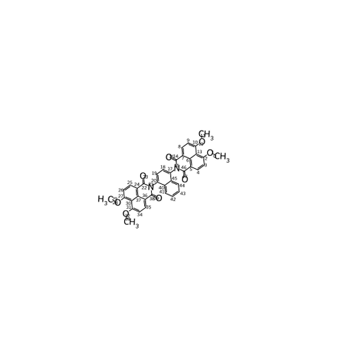 COc1ccc2c3c(ccc(OC)c13)C(=O)N(c1ccc(N3C(=O)c4ccc(OC)c5c(OC)ccc(c45)C3=O)c3ccccc13)C2=O